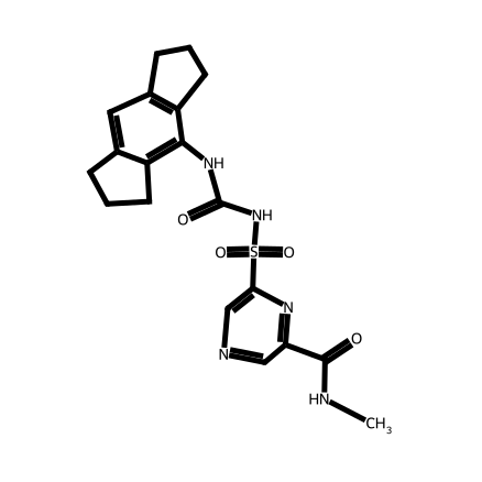 CNC(=O)c1cncc(S(=O)(=O)NC(=O)Nc2c3c(cc4c2CCC4)CCC3)n1